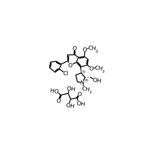 COc1cc(OC)c2c(=O)cc(-c3ccccc3Cl)oc2c1[C@@H]1CCN(C)[C@H]1CO.O=C(O)C(O)C(O)C(=O)O